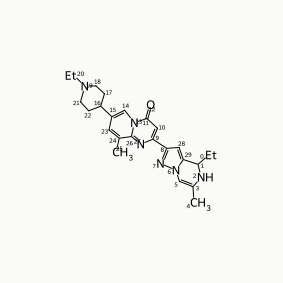 CCC1NC(C)=Cn2nc(-c3cc(=O)n4cc(C5CCN(CC)CC5)cc(C)c4n3)cc21